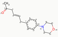 CC(=O)CC=CCc1ccc(N2CCOCC2)cc1